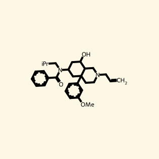 C=CCN1CCC2(c3cccc(OC)c3)CC(N(CC(C)C)C(=O)c3ccccc3)CC(O)C2C1